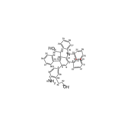 Nc1ccc(-c2cc(-c3ccccc3)c(N(c3ccccc3)c3ccccc3)c(CCO)c2-c2ccccc2)cc1CCO